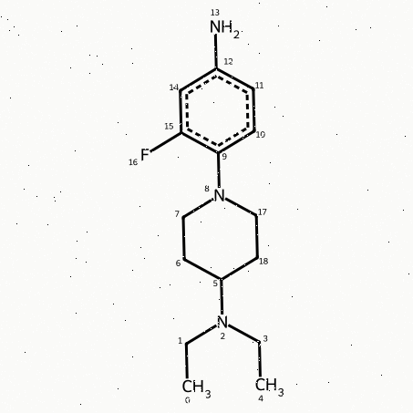 CCN(CC)C1CCN(c2ccc(N)cc2F)CC1